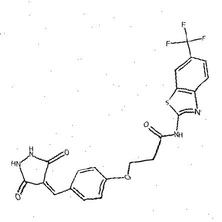 O=C(CCOc1ccc(C=C2C(=O)NNC2=O)cc1)Nc1nc2ccc(C(F)(F)F)cc2s1